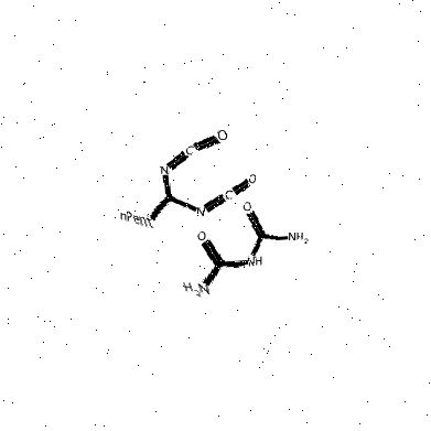 CCCCCC(N=C=O)N=C=O.NC(=O)NC(N)=O